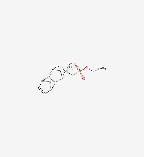 CCOS(=O)(=O)CC1(C)CC2CC1C1C3C=CC(C3)C21